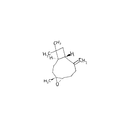 C=C1CCC2O[C@]2(C)CC[C@@H]2[C@@H]1CC2(C)C